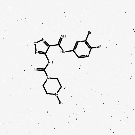 CCN1CCN(C(=O)Nc2nonc2C(=N)Nc2ccc(F)c(Br)c2)CC1